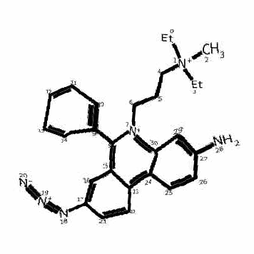 CC[N+](C)(CC)CCC[n+]1c(-c2ccccc2)c2cc(N=[N+]=[N-])ccc2c2ccc(N)cc21